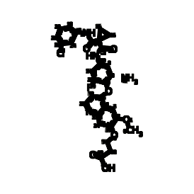 COc1cc2c(Oc3ccc(NC(=O)C4(C(=O)Nc5cccc(Cl)c5)CC4)cc3F)ccnc2cc1OCCC(=O)O.N